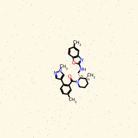 Cc1ccc(-c2cnn(C)c2)c(C(=O)N2CCC[C@@H](C)[C@H]2CNc2nc3cc(C)ccc3o2)c1